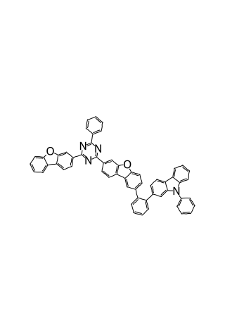 c1ccc(-c2nc(-c3ccc4c(c3)oc3ccccc34)nc(-c3ccc4c(c3)oc3ccc(-c5ccccc5-c5ccc6c7ccccc7n(-c7ccccc7)c6c5)cc34)n2)cc1